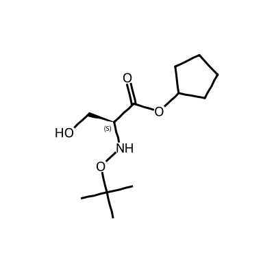 CC(C)(C)ON[C@@H](CO)C(=O)OC1CCCC1